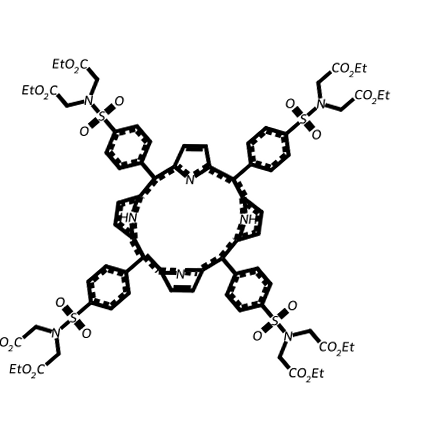 CCOC(=O)CN(CC(=O)OCC)S(=O)(=O)c1ccc(-c2c3nc(c(-c4ccc(S(=O)(=O)N(CC(=O)OCC)CC(=O)OCC)cc4)c4ccc([nH]4)c(-c4ccc(S(=O)(=O)N(CC(=O)OCC)CC(=O)OCC)cc4)c4nc(c(-c5ccc(S(=O)(=O)N(CC(=O)OCC)CC(=O)OCC)cc5)c5ccc2[nH]5)C=C4)C=C3)cc1